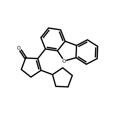 O=C1CCC(C2CCCC2)=C1c1cccc2c1oc1ccccc12